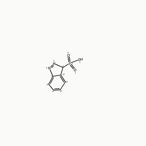 O=S(=O)(O)C1N=Nc2ccccc21